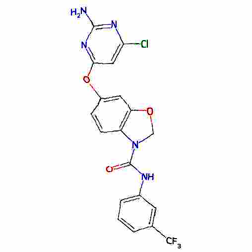 Nc1nc(Cl)cc(Oc2ccc3c(c2)OCN3C(=O)Nc2cccc(C(F)(F)F)c2)n1